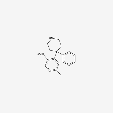 COc1ccc(C)cc1C1(c2ccccc2)CCNCC1